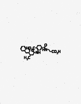 C/C(=C/C(=O)Nc1cc(C(=O)NCCC(=O)O)ccc1C(=O)O)c1ccc2ccccc2c1